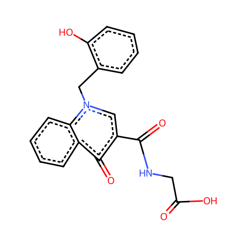 O=C(O)CNC(=O)c1cn(Cc2ccccc2O)c2ccccc2c1=O